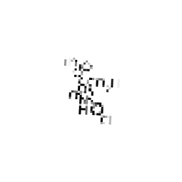 CC(C)C(=O)OCCOC(=O)NC(CCC(=O)O)c1ccc(Cl)cc1